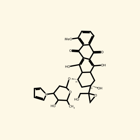 COc1cccc2c1C(=O)C1=C(O)C3C(C[C@@](O)(C4(CO)CO4)C[C@@H]3OC3CC(n4cccc4)C(O)C(C)O3)C(O)=C1C2=O